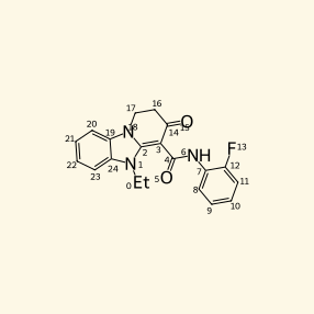 CCN1C2=C(C(=O)Nc3ccccc3F)C(=O)CCN2c2ccccc21